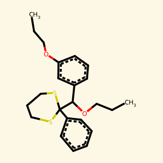 CCCOc1cccc(C(OCCC)C2(c3ccccc3)SCCCS2)c1